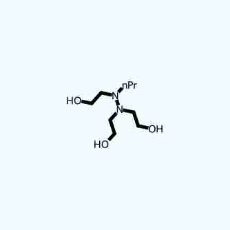 CCCN(CCO)N(CCO)CCO